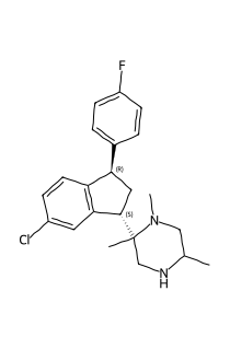 CC1CN(C)C(C)([C@H]2C[C@H](c3ccc(F)cc3)c3ccc(Cl)cc32)CN1